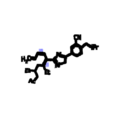 C=C/C=C\C(C1=NCC(c2ccc(CC(C)C)c(C#N)c2)=N1)=C(\CC)CC(CC)CC(C)=O